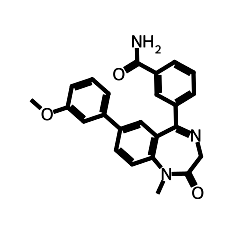 COc1cccc(-c2ccc3c(c2)C(c2cccc(C(N)=O)c2)=NCC(=O)N3C)c1